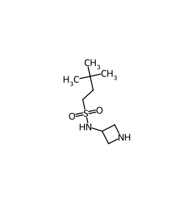 CC(C)(C)CCS(=O)(=O)NC1CNC1